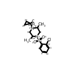 CC1CN(S(=O)(=O)c2ccccc2Cl)C(C)CN1C1(C)CC1